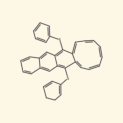 C1=CC(Sc2c3ccccccccc3c(Sc3ccccc3)c3cc4ccccc4cc23)=CCC1